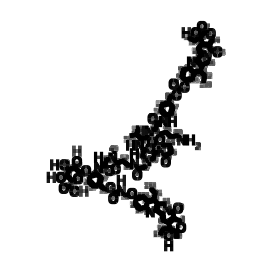 C=C1OCc2c(cc3n(c2=O)Cc2c-3nc3ccc(OCNC(=O)OCc4ccc(O[C@@H]5O[C@H](C(=O)O)[C@@H](O)[C@H](O)[C@H]5O)c(NC(=O)CN(C)C(=O)CCNC(=O)CN(CCN5C(=O)C=CC5=O)CC(=O)N[C@H](C(=O)N[C@@H](CCCCN)C(=O)Nc5ccc(COC(=O)Oc6ccc7nc8c(c(CC)c7c6)Cn6c-8cc7c(c6=O)COC(=O)[C@]7(O)CC)cc5)C(C)C)c4)cc3c2CC)[C@@]1(O)CC